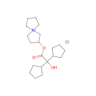 O=C(OC1CC[N+]2(CCCC2)C1)C(O)(C1CCCC1)C1CCCC1.[Cl-]